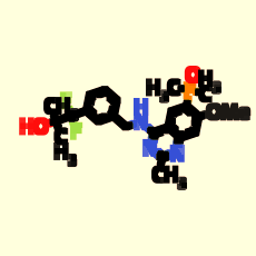 COc1cc2nc(C)nc(NCc3cccc(C(F)(F)C(C)(C)O)c3)c2cc1P(C)(C)=O